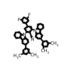 Cc1cc(C)cc(-c2ccc3c(c2)c2ccccc2n3-c2cc(-c3cc(F)cc(F)c3)cc(-n3c4ccccc4c4cc(-c5cc(C)cc(C)c5)ccc43)c2C#N)c1